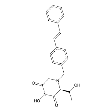 CC(O)[C@H]1C(=O)N(O)C(=O)CN1Cc1ccc(/C=C/c2ccccc2)cc1